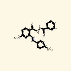 O=C(OOC(=O)c1ccc([N+](=O)[O-])cc1/C=C/c1ccc([N+](=O)[O-])cc1)c1ccccc1